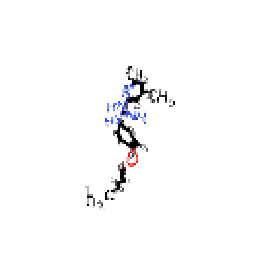 CCCCCOc1ccc(NC(=N)Nc2cc(C)cc(C)n2)cc1